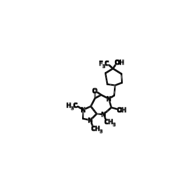 CN1CN(C)C2C1C1OC1N(CC1CCC(O)(C(F)(F)F)CC1)C(O)N2C